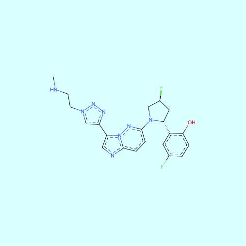 CNCCn1cc(-c2cnc3ccc(N4C[C@@H](F)C[C@@H]4c4cc(F)ccc4O)nn23)nn1